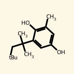 Cc1cc(O)cc(C(C)(C)CC(C)(C)C)c1O